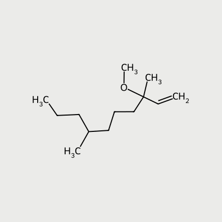 C=CC(C)(CCCC(C)CCC)OC